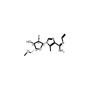 C=C/N=C(/N)c1ncn([C@@H]2O[C@H](COC)[C@@H](O)[C@H]2F)c1C